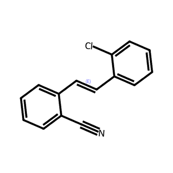 N#Cc1ccccc1/C=C/c1ccccc1Cl